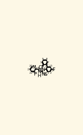 Fc1cc2c(c(-c3ccccc3Cl)c1)NC(NCc1ncccc1F)=NS2